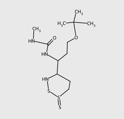 CNC(=O)NC(CCOC(C)(C)C)C1CCS(=S)SN1